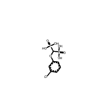 O=P(O)(O)C(Oc1cccc(Cl)c1)P(=O)(O)O